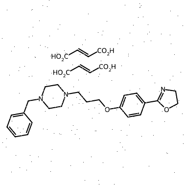 O=C(O)C=CC(=O)O.O=C(O)C=CC(=O)O.c1ccc(CN2CCN(CCCOc3ccc(C4=NCCO4)cc3)CC2)cc1